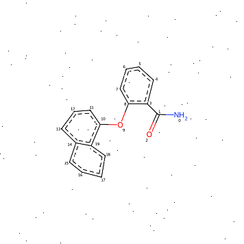 NC(=O)c1ccccc1Oc1cccc2ccccc12